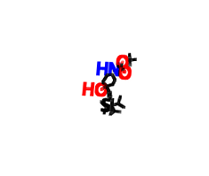 CC(C)[Si](C#C[C@]1(O)CC[C@H](NC(=O)OC(C)(C)C)CC1)(C(C)C)C(C)C